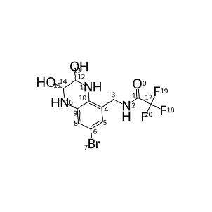 O=C(NCc1cc(Br)cc2c1NC(O)C(O)N2)C(F)(F)F